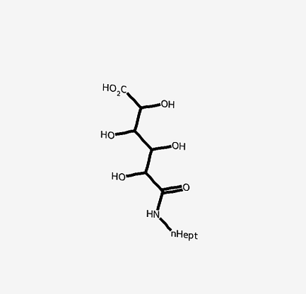 CCCCCCCNC(=O)C(O)C(O)C(O)C(O)C(=O)O